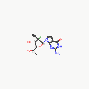 C#CC1(F)[C@@H](O)[C@@H]([C@@H](C)O)O[C@H]1n1ccc2c(=O)[nH]c(N)nc21